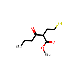 CC(C)(C)CCC(=O)C(CCS)C(=O)OC(C)(C)C